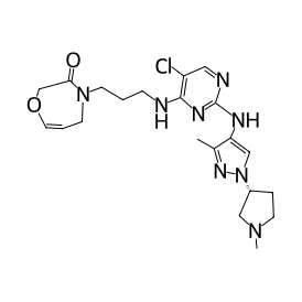 Cc1nn([C@@H]2CCN(C)C2)cc1Nc1ncc(Cl)c(NCCCN2CC=COCC2=O)n1